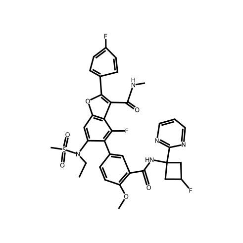 CCN(c1cc2oc(-c3ccc(F)cc3)c(C(=O)NC)c2c(F)c1-c1ccc(OC)c(C(=O)NC2(c3ncccn3)CC(F)C2)c1)S(C)(=O)=O